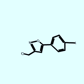 ClCc1cc(-c2ccc(I)cc2)on1